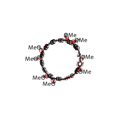 C=C1C=C2C=CC1C1(OCOC)CCC(OCOC)(CC1)c1ccc(cc1)C1=CC=C3C=C(C=CC3C1)C1=CC=C(CC1)C1(OCOC)CCC(OCOC)(CC1)C1=CCC(C=C1)C1=CC=C(CC1)C1(OCOC)CCC(OCOC)(CC1)c1ccc(cc1)-c1ccc(cc1)C1=CC=C(CC1)C1(OCOC)CCC(OCOC)(CC1)c1ccc2cc1